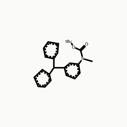 CN(C(=O)OC(C)(C)C)c1cccc(C(c2ccccc2)c2ccccc2)c1